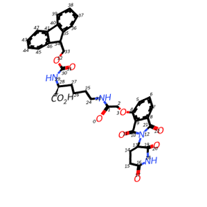 O=C(COc1cccc2c1C(=O)N(C1CCC(=O)NC1=O)C2=O)NCCCC[C@H](NC(=O)OCC1c2ccccc2-c2ccccc21)C(=O)O